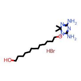 Br.CC1(C)N=C(N)N=C(N)N1OCCCCCCCCCCCCO